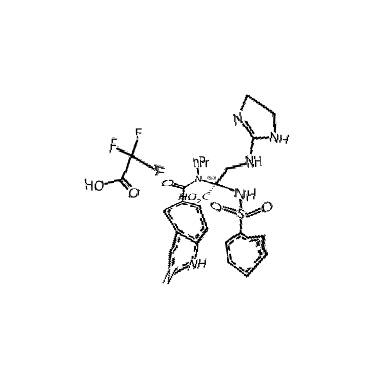 CCCN(C(=O)c1ccc2[nH]ncc2c1)[C@@](CNC1=NCCN1)(NS(=O)(=O)c1ccccc1)C(=O)O.O=C(O)C(F)(F)F